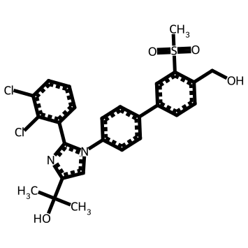 CC(C)(O)c1cn(-c2ccc(-c3ccc(CO)c(S(C)(=O)=O)c3)cc2)c(-c2cccc(Cl)c2Cl)n1